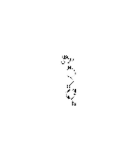 CC(C)(C)OC(=O)N1CCC(COc2cnc(Br)cn2)CC1